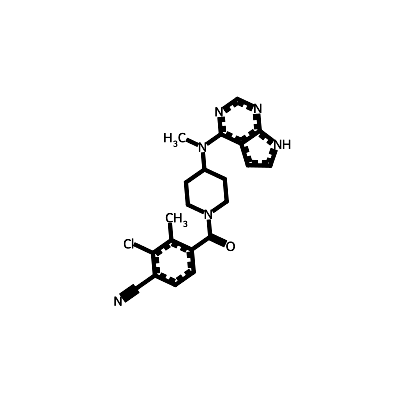 Cc1c(C(=O)N2CCC(N(C)c3ncnc4[nH]ccc34)CC2)ccc(C#N)c1Cl